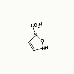 O=C(O)N1C=CNO1